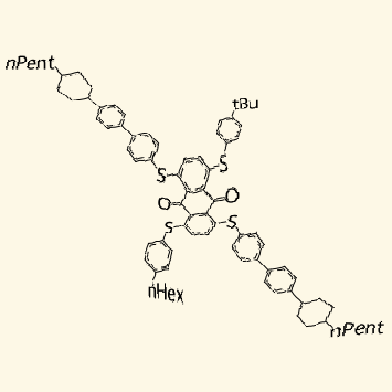 CCCCCCc1ccc(Sc2ccc(Sc3ccc(-c4ccc(C5CCC(CCCCC)CC5)cc4)cc3)c3c2C(=O)c2c(Sc4ccc(-c5ccc(C6CCC(CCCCC)CC6)cc5)cc4)ccc(Sc4ccc(C(C)(C)C)cc4)c2C3=O)cc1